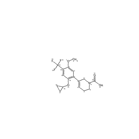 COc1cc(C2=CCCN(C(=O)O)C2)c(OC2CC2)cc1C(F)(F)F